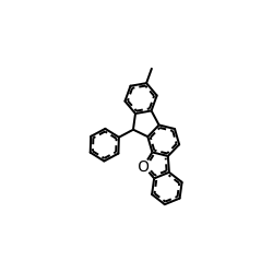 Cc1ccc2c(c1)-c1ccc3c(oc4ccccc43)c1C2c1ccccc1